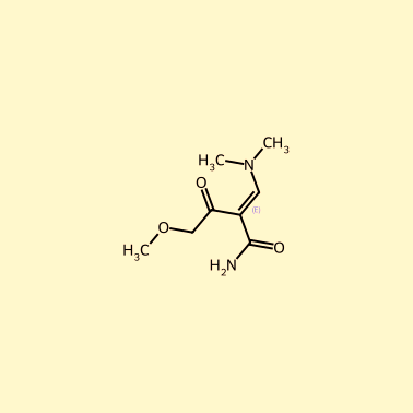 COCC(=O)/C(=C\N(C)C)C(N)=O